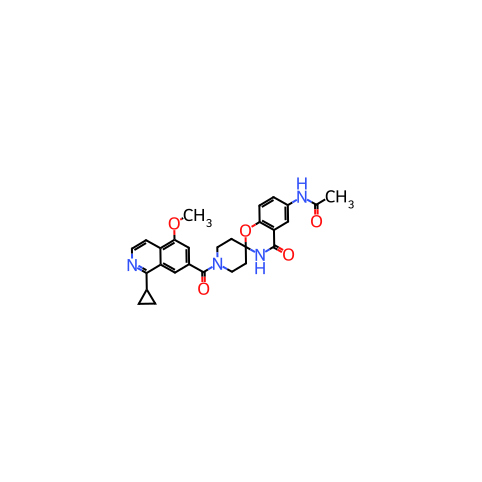 COc1cc(C(=O)N2CCC3(CC2)NC(=O)c2cc(NC(C)=O)ccc2O3)cc2c(C3CC3)nccc12